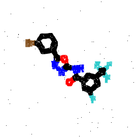 O=C(Nc1nnc(-c2cccc(Br)c2)o1)c1cc(F)cc(C(F)(F)F)c1